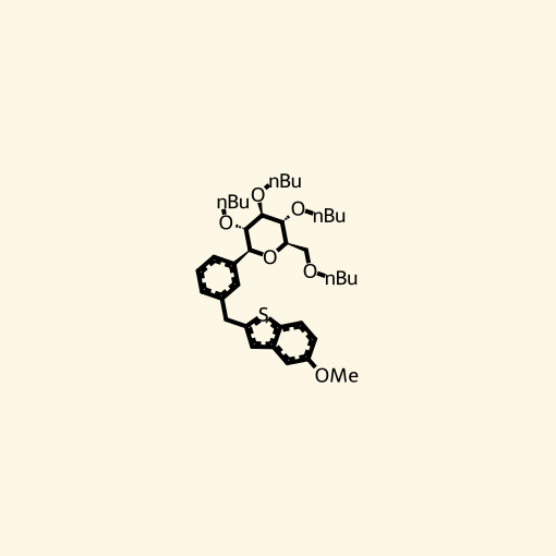 CCCCOC[C@H]1O[C@@H](c2cccc(Cc3cc4cc(OC)ccc4s3)c2)[C@H](OCCCC)[C@@H](OCCCC)[C@@H]1OCCCC